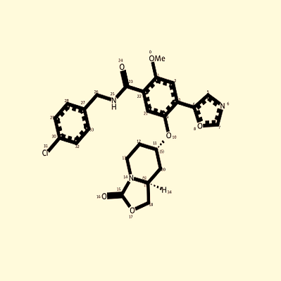 COc1cc(-c2cnco2)c(O[C@H]2CCN3C(=O)OC[C@@H]3C2)cc1C(=O)NCc1ccc(Cl)cc1